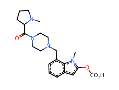 CN1CCCC1C(=O)N1CCN(Cc2cccc3cc(OC(=O)O)n(C)c23)CC1